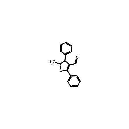 CN1OC(c2ccccc2)=C(C=O)C1c1ccccc1